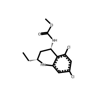 CC[C@@H]1C[C@H](NC(=O)OC)c2c(Cl)cc(Cl)cc2N1